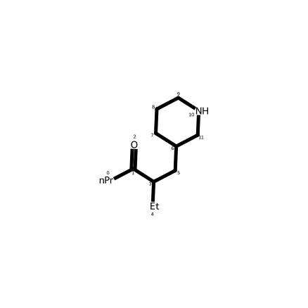 CCCC(=O)C(CC)CC1CCCNC1